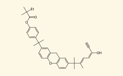 C#C/C(O)=C\C=C(/C)C(C)(C)c1ccc2c(c1)Cc1cc(C(C)(C)c3ccc(OC(=O)C(C)(C)CC)cc3)ccc1O2